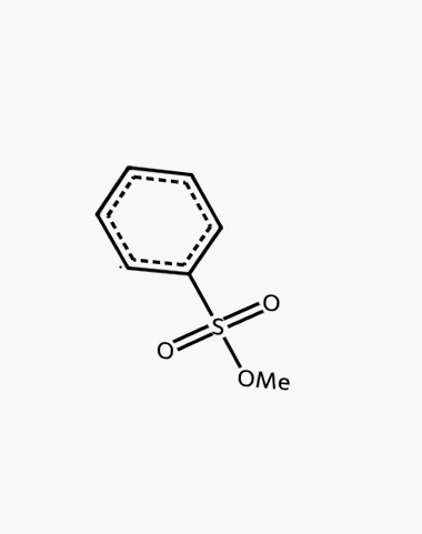 COS(=O)(=O)c1[c]cccc1